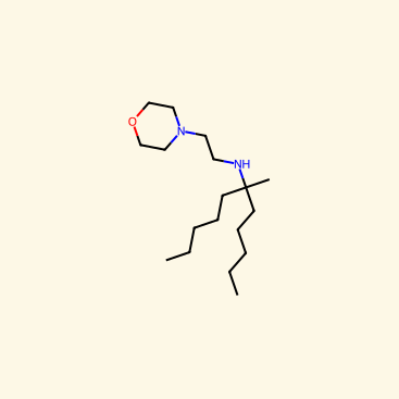 CCCCCC(C)(CCCCC)NCCN1CCOCC1